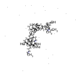 C=C/C=C(\C)[C@H](C[C@@H]1CC[C@@H](C)[C@](O)(C(=O)C(=O)N2CCCC[C@H]2C(=O)O[C@H](CC[C@@H]2CC[C@@H](O)[C@H](OC)C2)CC(=O)C/C=C(\C)[C@@H](O)[C@@H](OC)C(=O)CCC/C=C/C)O1)NS(=O)(=O)CCO